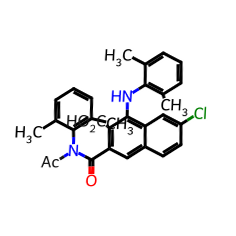 CC(=O)N(C(=O)c1cc2ccc(Cl)cc2c(Nc2c(C)cccc2C)c1C(=O)O)c1c(C)cccc1C